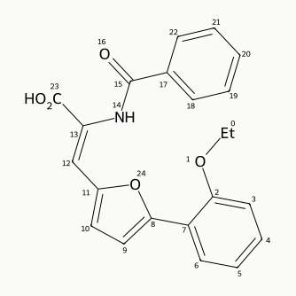 CCOc1ccccc1-c1ccc(C=C(NC(=O)c2ccccc2)C(=O)O)o1